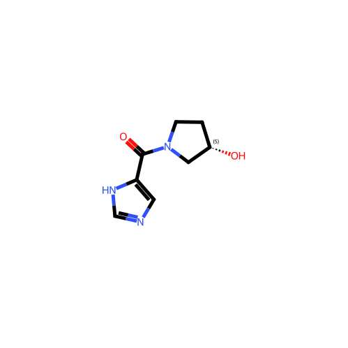 O=C(c1cnc[nH]1)N1CC[C@H](O)C1